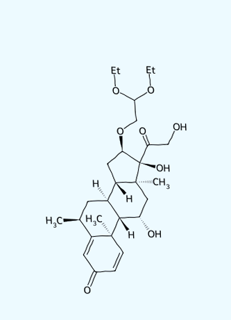 CCOC(CO[C@@H]1C[C@H]2[C@@H]3C[C@H](C)C4=CC(=O)C=C[C@]4(C)[C@H]3[C@@H](O)C[C@]2(C)[C@@]1(O)C(=O)CO)OCC